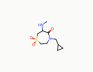 CNC1CS(=O)(=O)CCN(CC2CC2)C1=O